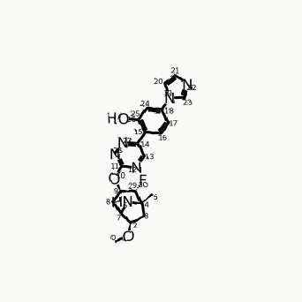 CO[C@@H]1C[C@]2(C)NC1C[C@@H](Oc1ncc(-c3ccc(-n4ccnc4)cc3O)nn1)[C@@H]2F